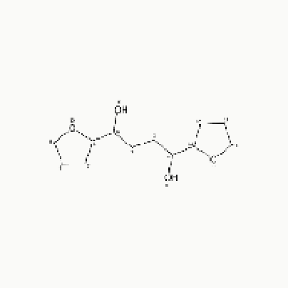 OC(CCC(O)C1CCCO1)C1CCCO1